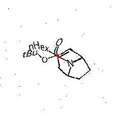 CCCCCCC1=CC2CCC(C1)N2C(=O)OC(C)(C)C